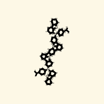 CC(C)c1ccc(N(c2ccc3c(c2)c2cccc4c5cc6c(cc5n3c24)c2cccc3c4cc(N(c5ccc(C(C)C)cc5)c5cccc7c5oc5ccccc57)ccc4n6c32)c2cccc3c2oc2ccccc23)cc1